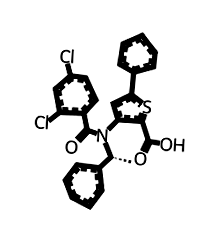 C[C@H](c1ccccc1)N(C(=O)c1ccc(Cl)cc1Cl)c1cc(-c2ccccc2)sc1C(=O)O